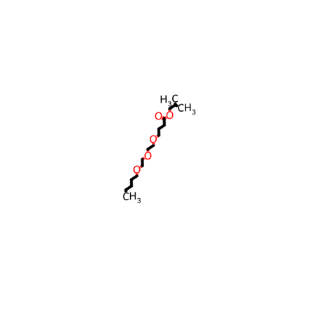 CCCCCOCCOCCOCCCC(=O)OCC(C)C